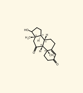 C[C@]12CCC(=O)C=C1CC[C@@H]1[C@H]2C(=O)C[C@]2(C)C(O)CC[C@@H]12